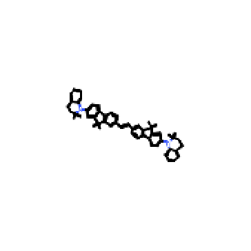 CC1(C)c2cc(/C=C/c3ccc4c(c3)C(C)(C)c3cc(N5c6ccccc6CCC5(C)C)ccc3-4)ccc2-c2ccc(N3c4ccccc4CCC3(C)C)cc21